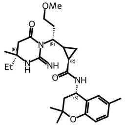 CC[C@]1(C)CC(=O)N([C@H](CCOC)C2C[C@H]2C(=O)N[C@H]2CC(C)(C)Oc3ccc(C)cc32)C(=N)N1